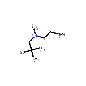 CCC(C)(C)CN(C)CCNC